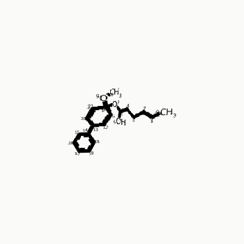 CCCCCC(O)OC1(OC)C=CC(c2ccccc2)C=C1